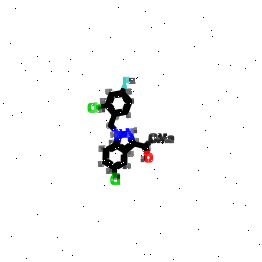 COC(=O)c1nn(Cc2ccc(F)cc2Cl)c2ccc(Cl)cc12